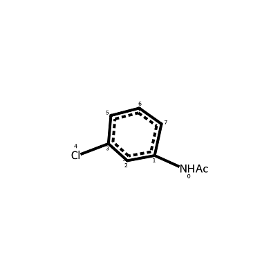 CC(=O)Nc1[c]c(Cl)c[c]c1